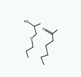 CCCCCC(C)=O.CCCOCC(C)O